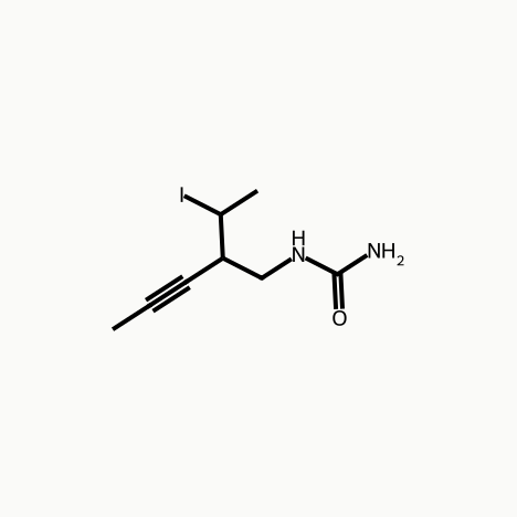 CC#CC(CNC(N)=O)C(C)I